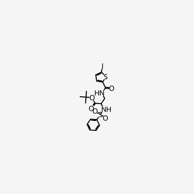 CC(C)(C)OC(=O)C(CNC(=O)c1ccc(I)s1)NS(=O)(=O)c1ccccc1